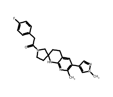 Cc1nc2c(cc1-c1cnn(C)c1)CCC1(CCN(C(=O)Cc3ccc(F)cc3)C1)N2